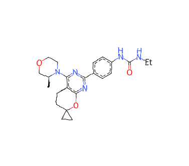 CCNC(=O)Nc1ccc(-c2nc3c(c(N4CCOC[C@@H]4C)n2)CCC2(CC2)O3)cc1